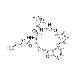 C=CCOC(=O)N[C@@H]1CCNC(=O)c2ccccc2-c2cccc(c2)OC[C@@H]2C[C@H](N)CN2C1=O